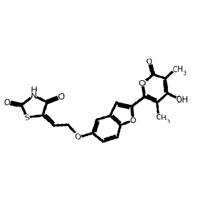 Cc1c(-c2cc3cc(OC/C=C4/SC(=O)NC4=O)ccc3o2)oc(=O)c(C)c1O